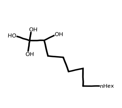 CCCCCCCCCCCC(O)C(O)(O)O